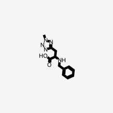 Cn1nnc(CC(NCc2ccccc2)C(=O)O)n1